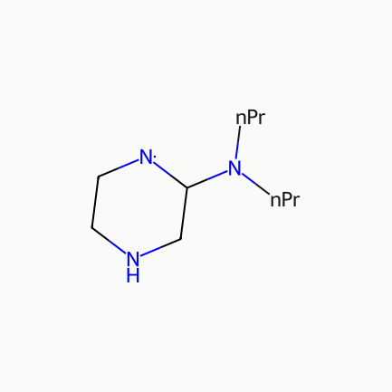 CCCN(CCC)C1CNCC[N]1